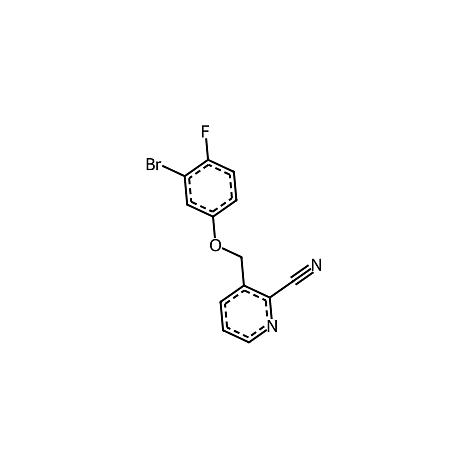 N#Cc1ncccc1COc1ccc(F)c(Br)c1